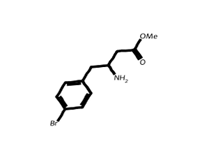 COC(=O)CC(N)Cc1ccc(Br)cc1